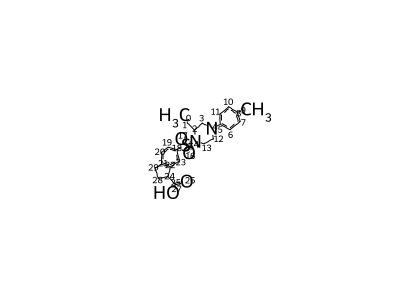 CCC1CN(c2ccc(C)cc2)CCN1S(=O)(=O)c1ccc2c(c1)C(C(=O)O)CC2